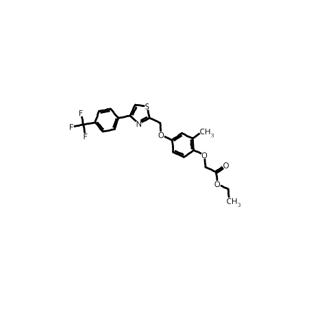 CCOC(=O)COc1ccc(OCc2nc(-c3ccc(C(F)(F)F)cc3)cs2)cc1C